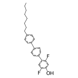 CCCCCCCCc1ccc(-c2ccc(-c3cc(F)c(O)cc3F)cc2)cc1